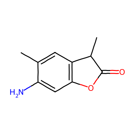 Cc1cc2c(cc1N)OC(=O)C2C